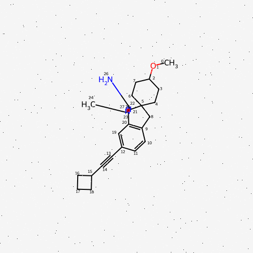 COC1CCC2(CC1)Cc1ccc(C#CC3CCC3)cc1C21N=C(C)C(N)=N1